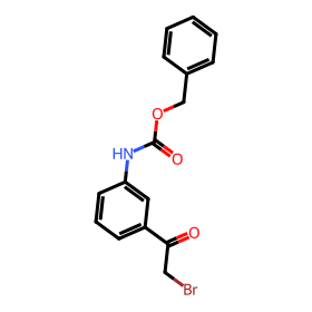 O=C(Nc1cccc(C(=O)CBr)c1)OCc1ccccc1